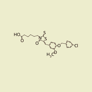 COc1cc(/C=C2\SC(=S)N(CCCCCC(=O)O)C2=O)ccc1OCc1ccc(Cl)cc1